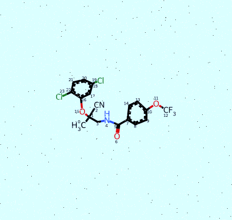 CC(C#N)(CNC(=O)c1ccc(OC(F)(F)F)cc1)Oc1cc(Cl)ccc1Cl